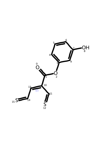 O=C(Oc1cccc(O)c1)/C(C=S)=C/C=S